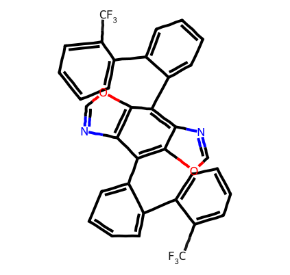 FC(F)(F)c1ccccc1-c1ccccc1-c1c2ncoc2c(-c2ccccc2-c2ccccc2C(F)(F)F)c2ncoc12